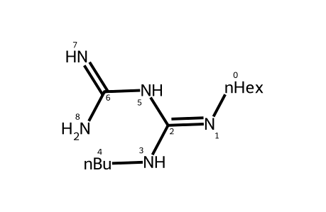 CCCCCCN=C(NCCCC)NC(=N)N